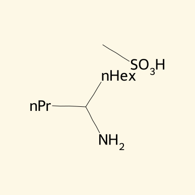 CCCCCCC(N)CCC.CS(=O)(=O)O